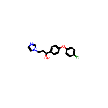 OC(CCn1ccnc1)c1ccc(Oc2ccc(Cl)cc2)cc1